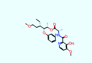 CC[C@@H](CCOC)[C@@H](Oc1ccccc1)[C@H](C)OC(=O)[C@H](C)NC(=O)c1nccc(OC)c1O